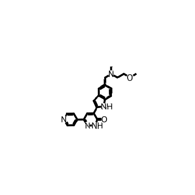 COCCN(C)Cc1ccc2[nH]c(-c3cc(-c4ccncc4)n[nH]c3=O)cc2c1